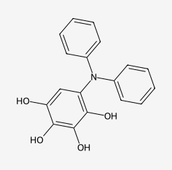 Oc1cc(N(c2ccccc2)c2ccccc2)c(O)c(O)c1O